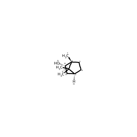 CC1(C)[C@H]2CC[C@@]1(C)[C@@H](O)C2